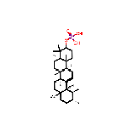 CC(=O)[C@]12CC[C@@H](C)[C@H](C)[C@H]1C1=CC[C@@H]3[C@@]4(C)CCC(OP(=O)(O)O)C(C)(C)[C@@H]4CC[C@@]3(C)[C@]1(C)CC2